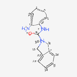 Nc1ccccc1NC(=O)N1Cc2ccccc2C1